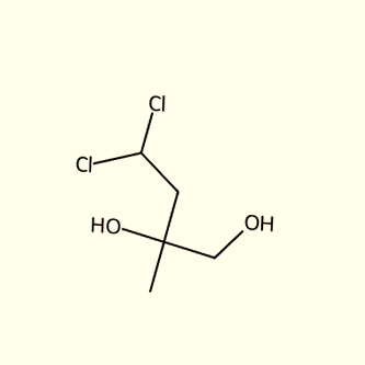 CC(O)(CO)CC(Cl)Cl